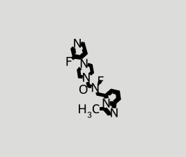 Cc1cnc2cccc(CN(F)C(=O)N3CCN(c4ccncc4F)CC3)n12